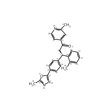 Cc1cc(C(=O)C[C@H](c2ccc(-c3nnc(C)o3)cc2)c2ccccc2C)ccn1